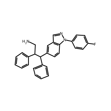 NCC(c1ccccc1)C(c1ccccc1)c1ccc2c(cnn2-c2ccc(F)cc2)c1